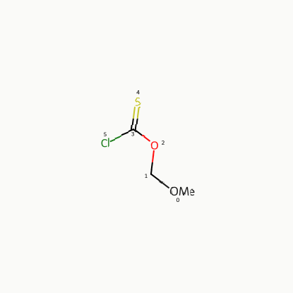 COCOC(=S)Cl